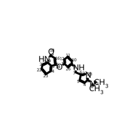 CN(C)c1ccc(CNc2cccc(Oc3cc(=O)[nH]c4ccccc34)c2)cn1